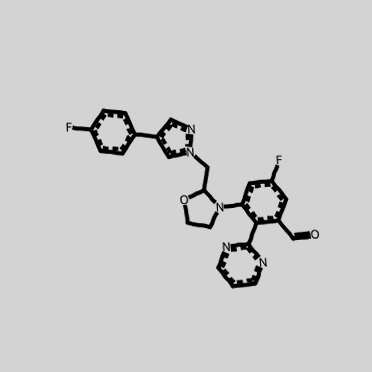 O=Cc1cc(F)cc(N2CCOC2Cn2cc(-c3ccc(F)cc3)cn2)c1-c1ncccn1